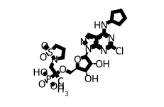 CC(CN1CCCS1(=O)=O)(OC[C@H]1O[C@@H](n2ncc3c(NC4CCCC4)nc(Cl)nc32)[C@H](O)[C@@H]1O)P(=O)(O)O